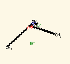 CCCCCCCCC=CCCCCCCCCOCC(C[N+](C)(C)CCCBr)OCCCCCCCCC=CCCCCCCCC.[Br-]